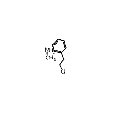 CN.ClCCc1ccccc1